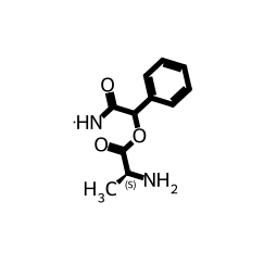 C[C@H](N)C(=O)OC(C([NH])=O)c1ccccc1